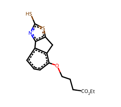 CCOC(=O)CCCOc1cccc2c1Cc1sc(S)nc1-2